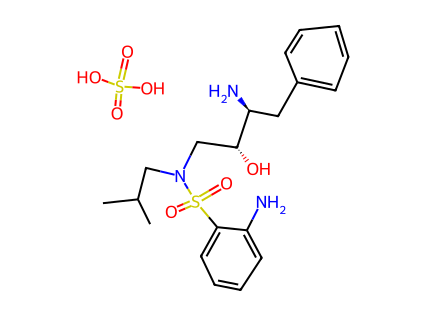 CC(C)CN(C[C@@H](O)[C@@H](N)Cc1ccccc1)S(=O)(=O)c1ccccc1N.O=S(=O)(O)O